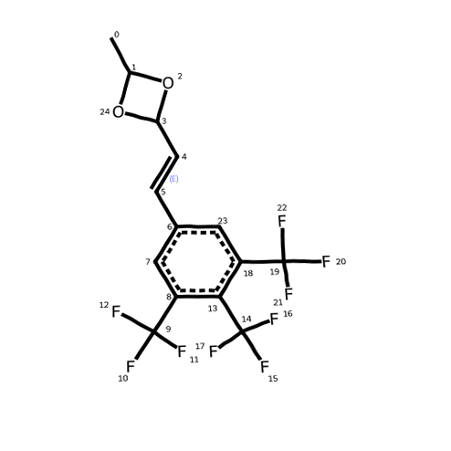 CC1OC(/C=C/c2cc(C(F)(F)F)c(C(F)(F)F)c(C(F)(F)F)c2)O1